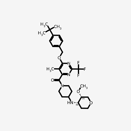 CO[C@@H]1COCC[C@@H]1NC1CCN(C(=O)c2nc(C(F)(F)F)nc(OCc3ccc(C(C)(C)C)cc3)c2C)CC1